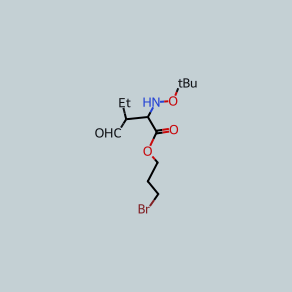 CCC(C=O)C(NOC(C)(C)C)C(=O)OCCCBr